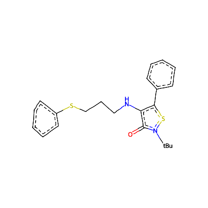 CC(C)(C)n1sc(-c2ccccc2)c(NCCCSc2ccccc2)c1=O